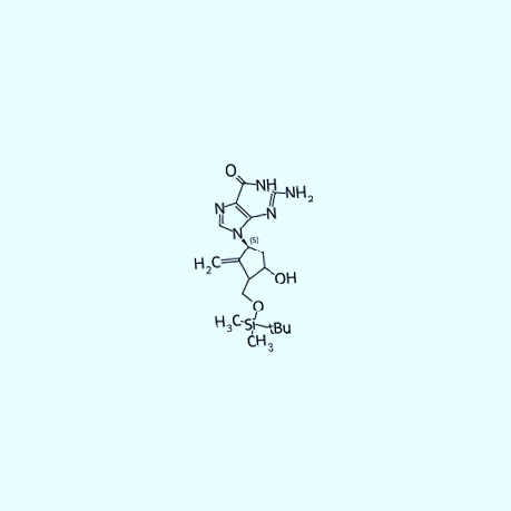 C=C1C(CO[Si](C)(C)C(C)(C)C)C(O)C[C@@H]1n1cnc2c(=O)[nH]c(N)nc21